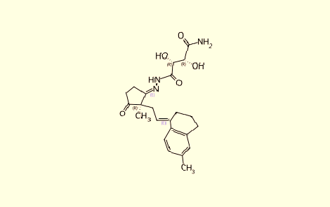 Cc1ccc2c(c1)CCC/C2=C\C[C@@]1(C)C(=O)CC/C1=N\NC(=O)[C@H](O)[C@@H](O)C(N)=O